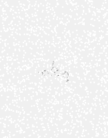 COCc1cc(Nc2ncc(C(F)(F)F)cn2)c2ncc(-c3nc(C(=O)O)ccc3Cl)nc2n1